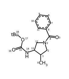 CC1CN(C(=O)c2ccccc2)CC1NC(=O)OC(C)(C)C